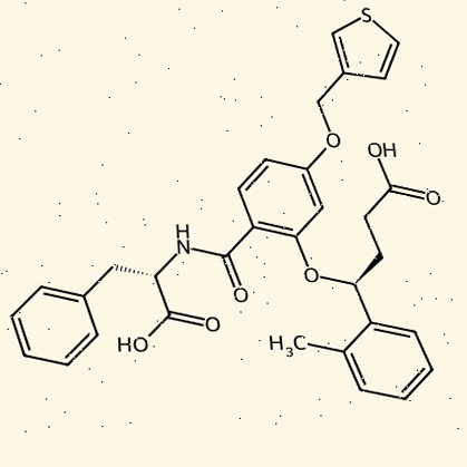 Cc1ccccc1[C@H](CCC(=O)O)Oc1cc(OCc2ccsc2)ccc1C(=O)N[C@@H](Cc1ccccc1)C(=O)O